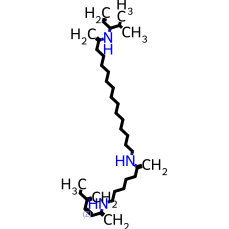 C=CC(NC(=C)CCCCCCCCCCCCCCNC(=C)CCCCCNC(=C)/C=C\C(=C)CC)C(C)C